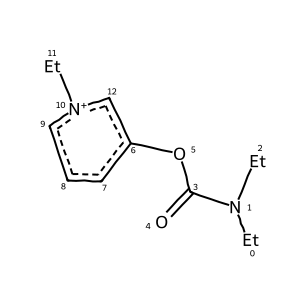 CCN(CC)C(=O)Oc1ccc[n+](CC)c1